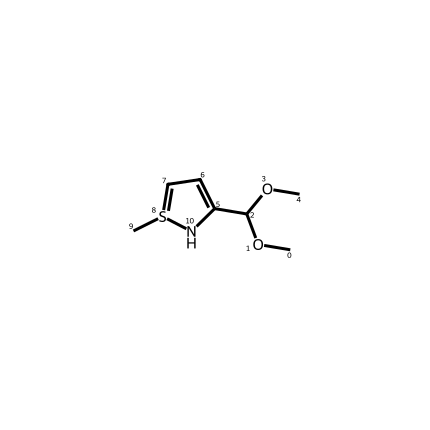 COC(OC)C1=CC=S(C)N1